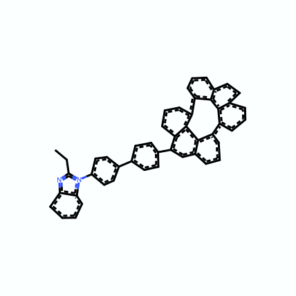 CCc1nc2ccccc2n1-c1ccc(-c2ccc(-c3cc4cccc5c6cccc7ccc8cccc(c9cccc3c9c45)c8c76)cc2)cc1